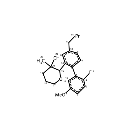 COc1ccc(F)c(-c2ccc(CC(C)C)cc2C2OCCCC2(C)C)c1